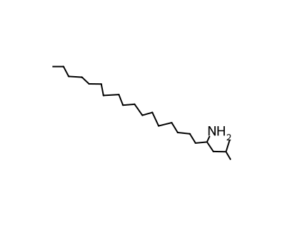 CCCCCCCCCCCCCCCCCC(N)CC(C)C